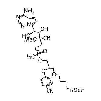 CCCCCCCCCCCCCCOC[C@H](COP(=O)(O)OCC(C#N)(OC)[C@@H](O)[C@@H](O)c1ccc2c(N)ncnn12)Oc1ccc(C#N)nc1